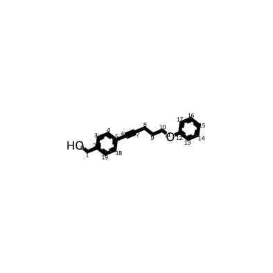 OCc1ccc(C#CCCCOc2ccccc2)cc1